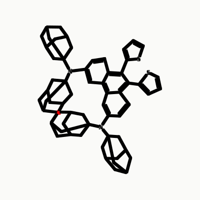 c1csc(-c2c(-c3cccs3)c3ccc(N(C45CC6CC(CC(C6)C4)C5)C45CC6CC(CC(C6)C4)C5)cc3c3cc(N(C45CC6CC(CC(C6)C4)C5)C45CC6CC(CC(C6)C4)C5)ccc23)c1